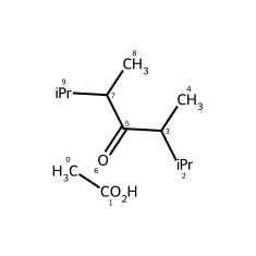 CC(=O)O.CC(C)C(C)C(=O)C(C)C(C)C